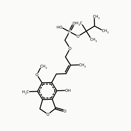 COc1c(C)c2c(c(O)c1CC=C(C)COCP(=O)(O)OC(C)(C)C(C)C)C(=O)OC2